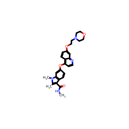 CNC(=O)c1c(C)n(C)c2cc(Oc3ccnc4cc(OCCN5CCOCC5)ccc34)ccc12